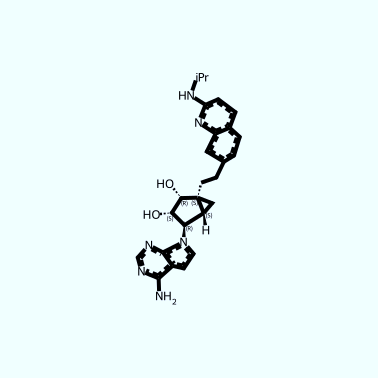 CC(C)Nc1ccc2ccc(CC[C@]34C[C@@H]3[C@@H](n3ccc5c(N)ncnc53)[C@H](O)[C@@H]4O)cc2n1